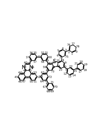 C1=CC(c2cccc(-c3cc(-c4cccc(-c5ccccc5)c4)cc4c3sc3c(-c5cccc(-c6cccc(-c7cnc8c9ccccc9c9ccccc9c8n7)c6)c5)cc(-c5cccc(-c6ccccc6)c5)cc34)c2)=CCC1